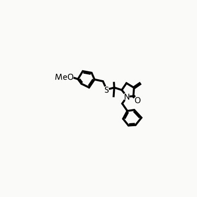 C=C1CC(C(C)(C)SCc2ccc(OC)cc2)N(Cc2ccccc2)C1=O